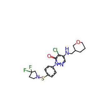 O=c1c(Cl)c(NCC2CCCOC2)cnn1-c1ccc(SN2CCC(F)(F)C2)cc1